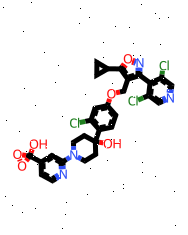 OC1(c2ccc(OCc3c(-c4c(Cl)cncc4Cl)noc3C3CC3)cc2Cl)CCN(c2cc(C3(O)OO3)ccn2)CC1